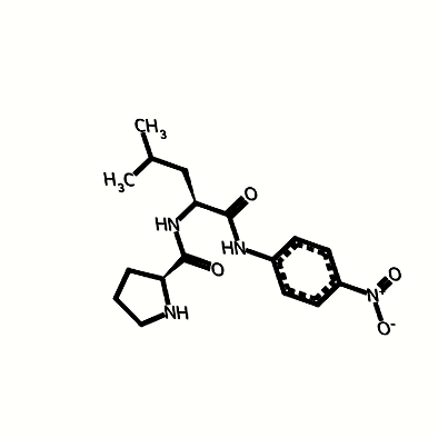 CC(C)C[C@H](NC(=O)[C@@H]1CCCN1)C(=O)Nc1ccc([N+](=O)[O-])cc1